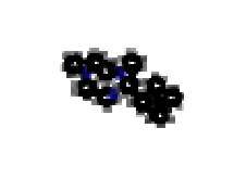 c1ccc([Si]2(c3ccccc3)c3ccccc3-c3ccc(-c4ccc5c(c4)c4ccccc4n5-c4ccc5c(ccc6c7ccccc7n(-c7cccc(-c8cccnc8)c7)c56)c4)cc32)cc1